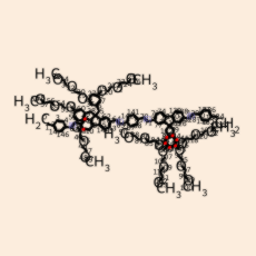 C=Cc1ccc(/C=C/c2ccc3c(c2)C(Cc2cc(OCCOCCOC)cc(OCCOCCOC)c2)(Cc2cc(OCCOCCOC)cc(OCCOCCOC)c2)c2cc(/C=C/c4ccc(/C=C/c5ccc6c(c5)C(Cc5cc(OCCOCCOC)cc(OCCOCCOC)c5)(Cc5cc(OCCOCCOC)cc(OCCOCCOC)c5)c5cc(/C=C/c7ccc(C=C)cc7)ccc5-6)cc4)ccc2-3)cc1